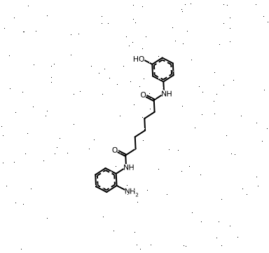 Nc1ccccc1NC(=O)CCCCCC(=O)Nc1cccc(O)c1